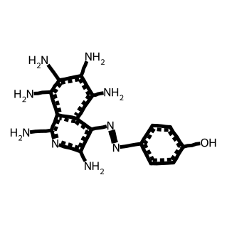 Nc1nc(N)c2c(N)c(N)c(N)c(N)c2c1/N=N/c1ccc(O)cc1